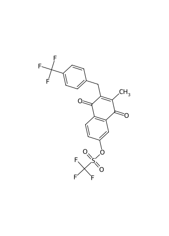 CC1=C(Cc2ccc(C(F)(F)F)cc2)C(=O)c2ccc(OS(=O)(=O)C(F)(F)F)cc2C1=O